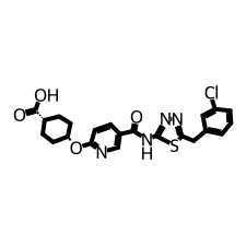 O=C(Nc1nnc(Cc2cccc(Cl)c2)s1)c1ccc(O[C@H]2CC[C@@H](C(=O)O)CC2)nc1